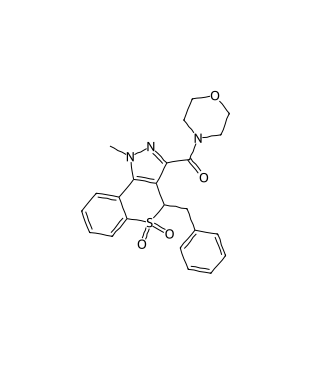 Cn1nc(C(=O)N2CCOCC2)c2c1-c1ccccc1S(=O)(=O)C2Cc1ccccc1